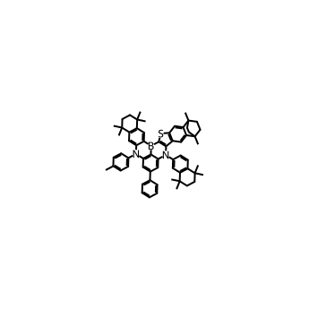 Cc1ccc(N2c3cc4c(cc3B3c5sc6cc7c(cc6c5N(c5ccc6c(c5)C(C)(C)CCC6(C)C)c5cc(-c6ccccc6)cc2c53)C2(C)CCC7(C)CC2)C(C)(C)CCC4(C)C)cc1